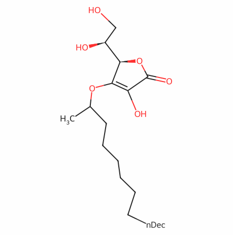 CCCCCCCCCCCCCCCCC(C)OC1=C(O)C(=O)O[C@@H]1[C@@H](O)CO